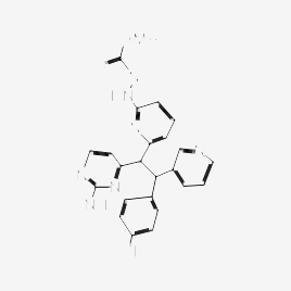 COC(=O)NNc1cccc(C(c2ccnc(N)n2)C(c2ccc(Cl)cc2)c2cccnc2)n1